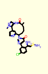 CC1CCCC(n2cnc(-c3cc(Cl)ccc3/C(N)=C/SN)cc2=O)c2cc(ccn2)-c2c(cnn2C)NC1=O